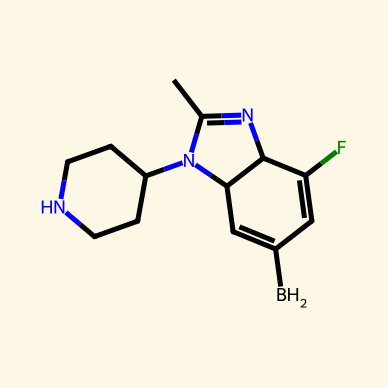 BC1=CC2C(N=C(C)N2C2CCNCC2)C(F)=C1